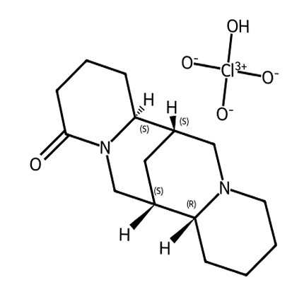 O=C1CCC[C@H]2[C@H]3C[C@@H](CN12)[C@H]1CCCCN1C3.[O-][Cl+3]([O-])([O-])O